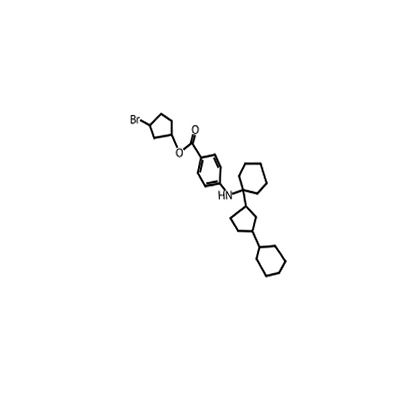 O=C(OC1CCC(Br)C1)c1ccc(NC2(C3CCC(C4CCCCC4)C3)CCCCC2)cc1